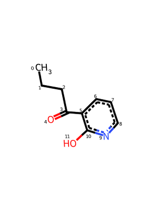 CCCC(=O)c1cccnc1O